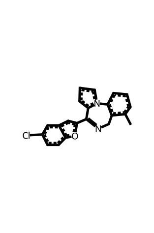 Cc1cccc2c1CN=C(c1cc3cc(Cl)ccc3o1)c1cccn1-2